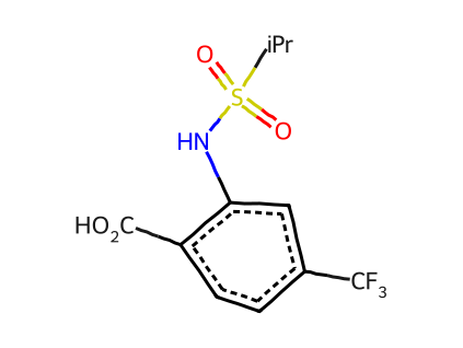 CC(C)S(=O)(=O)Nc1cc(C(F)(F)F)ccc1C(=O)O